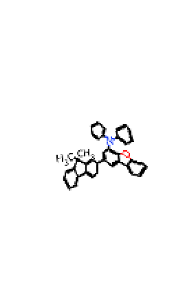 CC1(C)c2ccccc2-c2ccc(-c3cc(N(c4ccccc4)c4ccccc4)c4oc5ccccc5c4c3)cc21